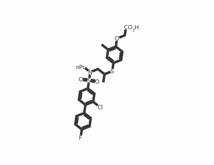 CCCN(CC(C)Sc1ccc(OCC(=O)O)c(C)c1)S(=O)(=O)c1ccc(-c2ccc(F)cc2)c(Cl)c1